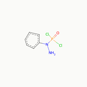 NN(c1ccccc1)P(=O)(Cl)Cl